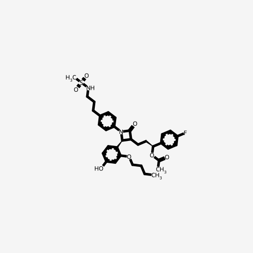 CCCCOc1cc(O)ccc1[C@@H]1C(CC[C@H](OC(C)=O)c2ccc(F)cc2)C(=O)N1c1ccc(CCCNS(C)(=O)=O)cc1